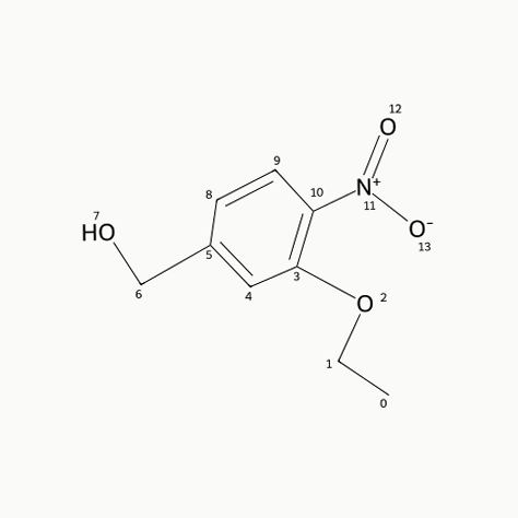 CCOc1cc(CO)ccc1[N+](=O)[O-]